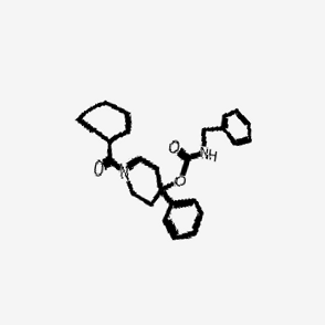 O=C(NCc1ccccc1)OC1(c2ccccc2)CCN(C(=O)C2CCCCC2)CC1